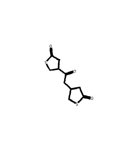 O=C1CC(CC(=O)C2CSC(=O)C2)CS1